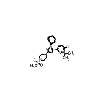 CC(C)n1nc(-c2cc(N3CCN(S(C)(=O)=O)CC3)nn2-c2ccccc2)ccc1=O